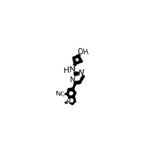 CN1CCc2cc(-c3ccnc(NC4CC(O)C4)n3)cc(C#N)c21